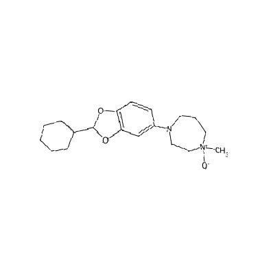 C[N+]1([O-])CCCN(c2ccc3c(c2)OC(C2CCCCC2)O3)CC1